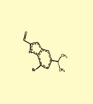 CC(C)c1cc(Br)c2nc(C=O)cn2c1